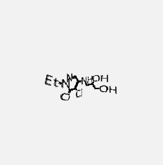 CCn1ncc(NCC(O)CO)c(Cl)c1=O